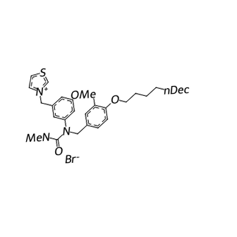 CCCCCCCCCCCCCCOc1ccc(CN(C(=O)NC)c2cccc(C[n+]3ccsc3)c2)cc1OC.[Br-]